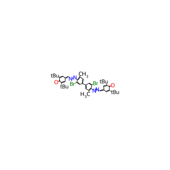 Cc1cc(-c2cc(C)c(/N=N/C=C3C=C(C(C)(C)C)C(=O)C(C(C)(C)C)=C3)c(Br)c2)cc(Br)c1/N=N/C=C1C=C(C(C)(C)C)C(=O)C(C(C)(C)C)=C1